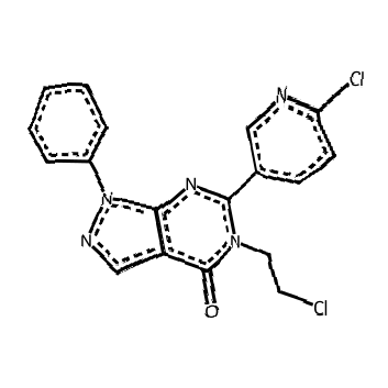 O=c1c2cnn(-c3ccccc3)c2nc(-c2ccc(Cl)nc2)n1CCCl